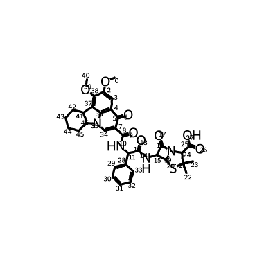 COc1cc2c(=O)c(C(=O)NC(C(=O)NC3C(=O)N4C3SC(C)(C)C4C(=O)O)c3ccccc3)cn3c2c(c1OC)C1CCCCC13